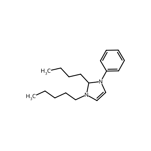 CCCCCN1C=CN(c2ccccc2)C1CCCC